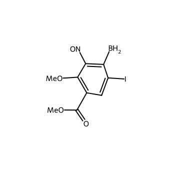 Bc1c(I)cc(C(=O)OC)c(OC)c1N=O